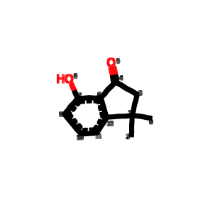 CC1(C)CC(=O)c2c(O)cccc21